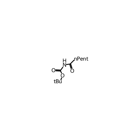 CCCCCC(=O)NC(=O)OC(C)(C)C